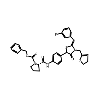 O=C(Nc1ccc(C2S/C(=N\c3cccc(F)c3)N(CC3=CCCO3)C2=O)cc1)[C@@H]1CCCN1C(=O)OCc1ccccc1